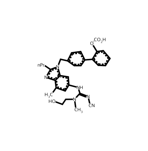 CCCc1nc2c(C)cc(NC(=NC#N)N(C)CCO)cc2n1Cc1ccc(-c2ccccc2OC(=O)O)cc1